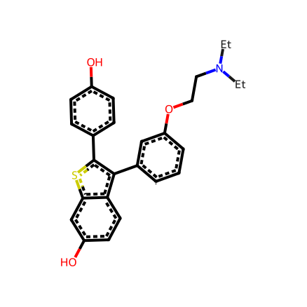 CCN(CC)CCOc1cc[c]c(-c2c(-c3ccc(O)cc3)sc3cc(O)ccc23)c1